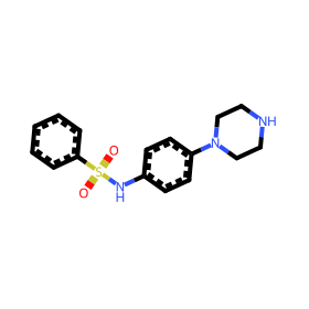 O=S(=O)(Nc1ccc(N2CCNCC2)cc1)c1ccccc1